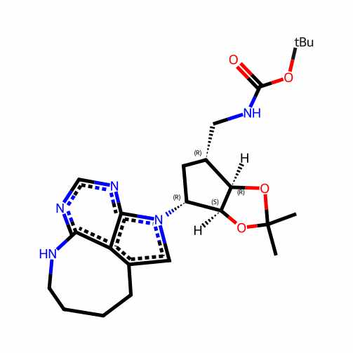 CC(C)(C)OC(=O)NC[C@H]1C[C@@H](n2cc3c4c(ncnc42)NCCCC3)[C@@H]2OC(C)(C)O[C@H]12